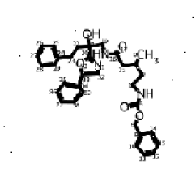 CC(CCNC(=O)OCc1ccccc1)CC(=O)NCC(O)(CCc1ccccc1)c1ncc(-c2ccccc2)o1